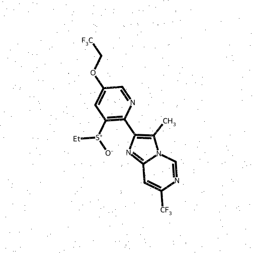 CC[S+]([O-])c1cc(OCC(F)(F)F)cnc1-c1nc2cc(C(F)(F)F)ncn2c1C